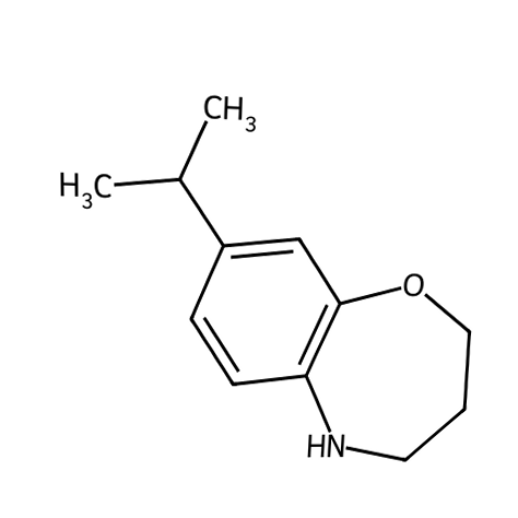 CC(C)c1ccc2c(c1)OCCCN2